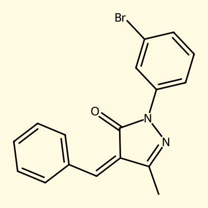 CC1=NN(c2cccc(Br)c2)C(=O)C1=Cc1ccccc1